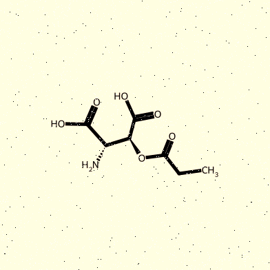 CCC(=O)O[C@H](C(=O)O)[C@H](N)C(=O)O